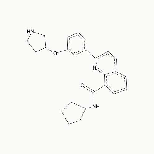 O=C(NC1CCCC1)c1cccc2ccc(-c3cccc(O[C@@H]4CCNC4)c3)nc12